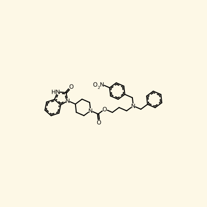 O=C(OCCCN(Cc1ccccc1)Cc1ccc([N+](=O)[O-])cc1)N1CCC(n2c(=O)[nH]c3ccccc32)CC1